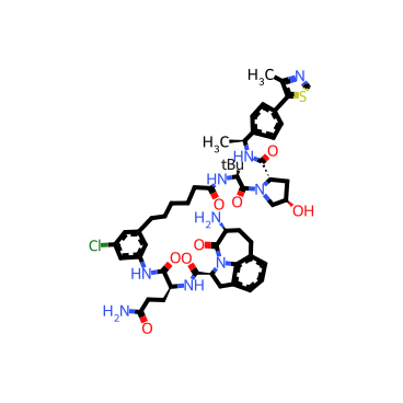 Cc1ncsc1-c1ccc([C@H](C)NC(=O)[C@@H]2C[C@@H](O)CN2C(=O)[C@@H](NC(=O)CCCCCc2cc(Cl)cc(NC(=O)[C@H](CCC(N)=O)NC(=O)[C@@H]3Cc4cccc5c4N3C(=O)[C@@H](N)CC5)c2)C(C)(C)C)cc1